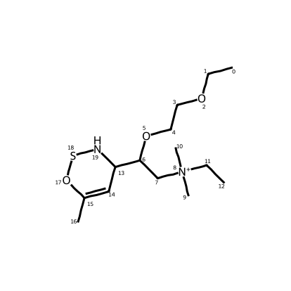 CCOCCOC(C[N+](C)(C)CC)C1C=C(C)OSN1